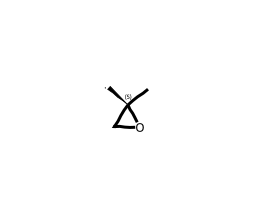 [CH2][C@]1(C)CO1